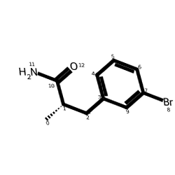 C[C@@H]([CH]c1cccc(Br)c1)C(N)=O